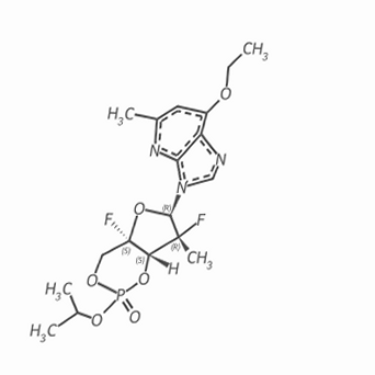 CCOc1cc(C)nc2c1ncn2[C@@H]1O[C@]2(F)COP(=O)(OC(C)C)O[C@H]2[C@@]1(C)F